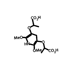 COC1=C(OC(C)C(=O)O)CC(OC(C)C(=O)O)=C(OC)N1